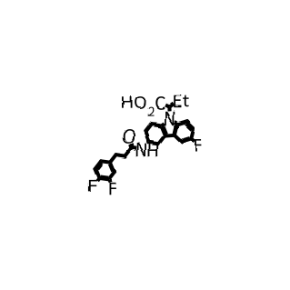 CCC(C(=O)O)n1c2c(c3cc(F)ccc31)CC(NC(=O)CCc1ccc(F)c(F)c1)CC2